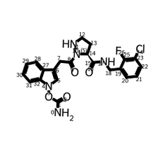 NC(=O)On1cc(CC(=O)N2NCC[C@H]2C(=O)NCc2cccc(Cl)c2F)c2ccccc21